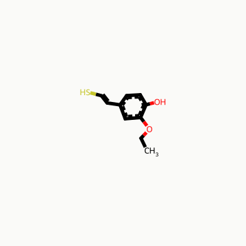 CCOc1cc(/C=C/S)ccc1O